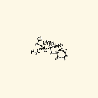 CC(C#N)(Cc1ccccc1)O[Si](C)(C)CCl